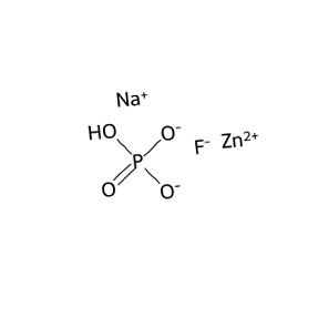 O=P([O-])([O-])O.[F-].[Na+].[Zn+2]